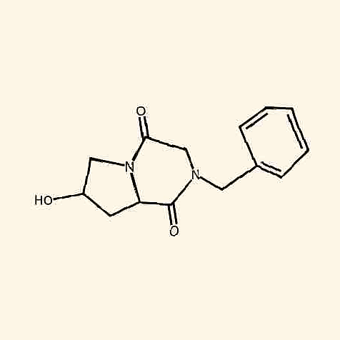 O=C1C2CC(O)CN2C(=O)CN1Cc1ccccc1